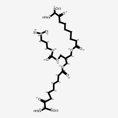 CCCCCCCCC(CCCCCC)C(=O)CCCCCCC(=O)OCC(COC(=O)CCCCCCC(=O)C(CCCCCC)CCCCCCCC)COC(=O)OCCCN(CC)CC